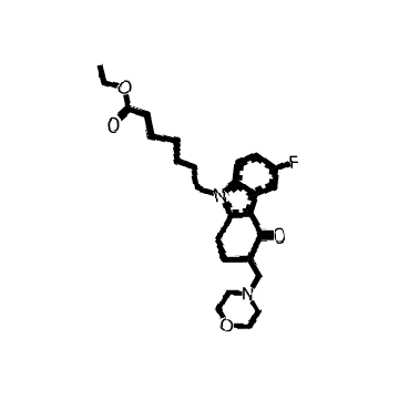 CCOC(=O)CCCCCCn1c2c(c3cc(F)ccc31)C(=O)C(CN1CCOCC1)CC2